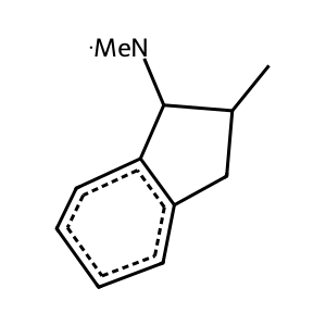 C[N]C1c2ccccc2CC1C